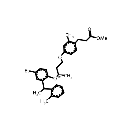 CCc1ccc(O[C@H](C)CCOc2ccc(CCC(=O)OC)c(C)c2)c(C(C)c2ccccc2C)c1